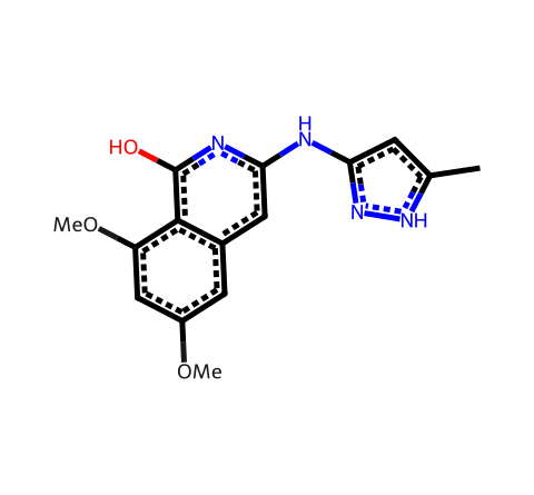 COc1cc(OC)c2c(O)nc(Nc3cc(C)[nH]n3)cc2c1